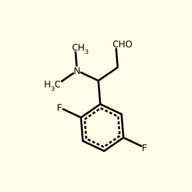 CN(C)C(CC=O)c1cc(F)ccc1F